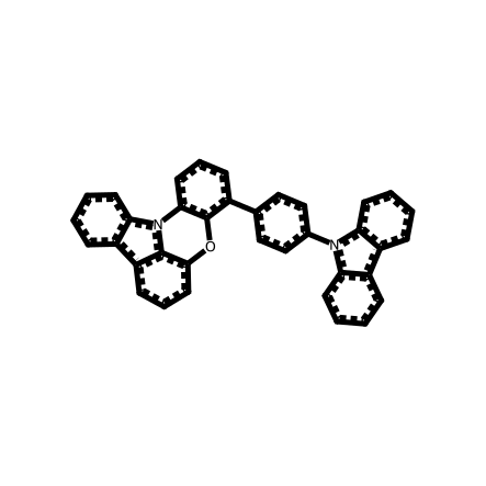 c1cc(-c2ccc(-n3c4ccccc4c4ccccc43)cc2)c2c(c1)-n1c3ccccc3c3cccc(c31)O2